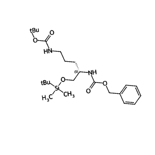 CC(C)(C)OC(=O)NCCC[C@@H](CO[Si](C)(C)C(C)(C)C)NC(=O)OCc1ccccc1